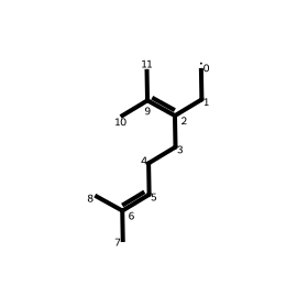 [CH2]CC(CCC=C(C)C)=C(C)C